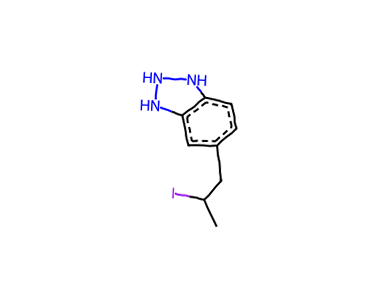 CC(I)Cc1ccc2c(c1)NNN2